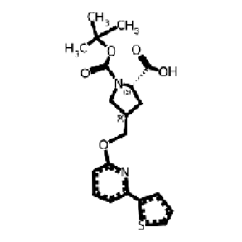 CC(C)(C)OC(=O)N1C[C@H](COc2cccc(-c3cccs3)n2)C[C@H]1C(=O)O